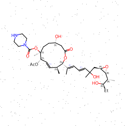 CC[C@@H](O)[C@@H](C)[C@H]1O[C@@H]1CC(C)(O)/C=C/C=C(\C)[C@H]1OC(=O)C[C@@H](O)CC[C@](C)(OC(=O)N2CCNCC2)[C@@H](OC(C)=O)/C=C/[C@@H]1C